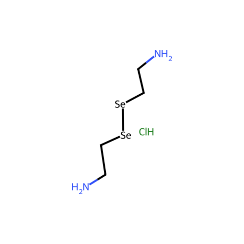 Cl.NCC[Se][Se]CCN